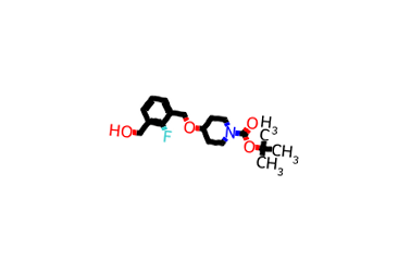 CC(C)(C)OC(=O)N1CCC(OCc2cccc(CO)c2F)CC1